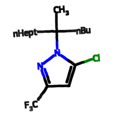 CCCCCCCC(C)(CCCC)n1nc(C(F)(F)F)cc1Cl